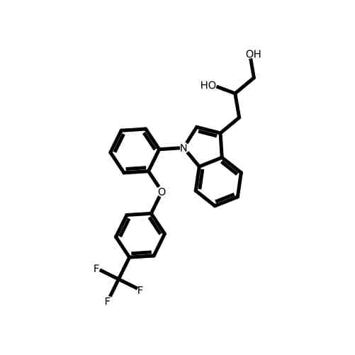 OCC(O)Cc1cn(-c2ccccc2Oc2ccc(C(F)(F)F)cc2)c2ccccc12